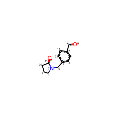 O=Cc1ccc(CN2CCCC2=O)cc1